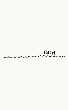 CCCCCCCCCCCCCCCCCCCCCCCC(CCCCCCCCC)C(=O)O